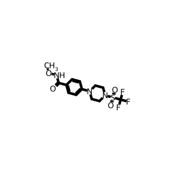 CONC(=O)c1ccc(N2CCN(S(=O)(=O)C(F)(F)F)CC2)cc1